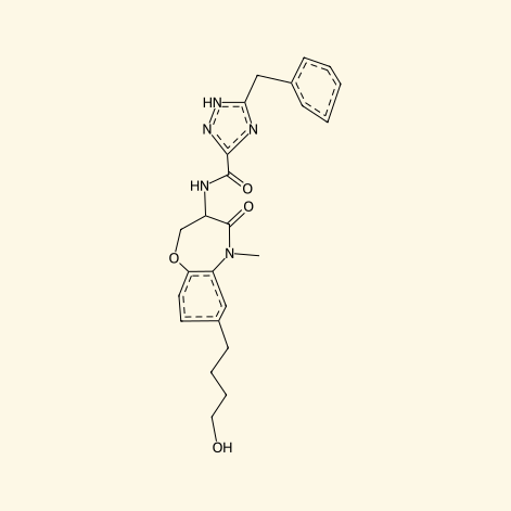 CN1C(=O)C(NC(=O)c2n[nH]c(Cc3ccccc3)n2)COc2ccc(CCCCO)cc21